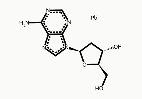 Nc1ncnc2c1ncn2[C@H]1C[C@H](O)[C@@H](CO)O1.[Pb]